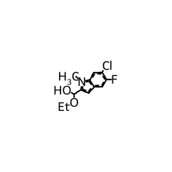 CCOC(O)c1cc2cc(F)c(Cl)cc2n1C